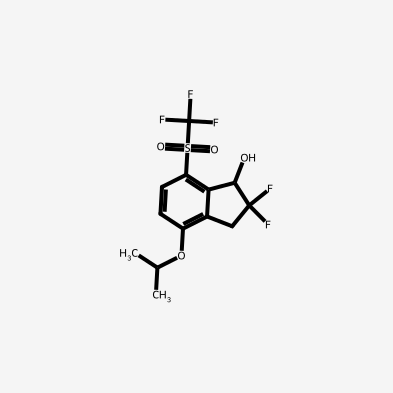 CC(C)Oc1ccc(S(=O)(=O)C(F)(F)F)c2c1CC(F)(F)C2O